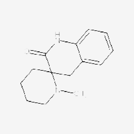 CN1CCCCC12Cc1ccccc1NC2=O